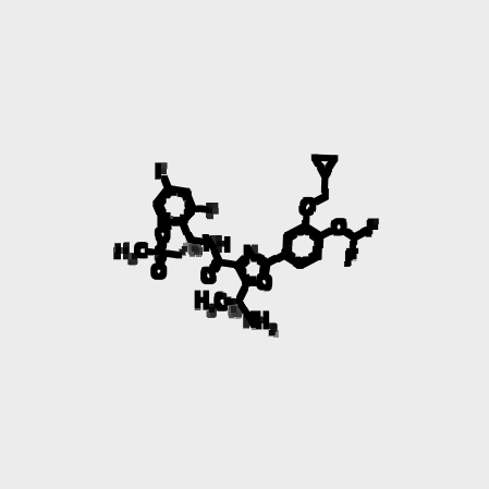 C[C@H](N)c1oc(-c2ccc(OC(F)F)c(OCC3CC3)c2)nc1C(=O)N[C@H](CS(C)(=O)=O)c1ncc(F)cc1F